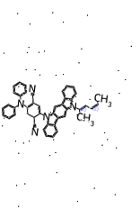 C/C=C\C=C(/C)n1c2ccccc2c2cc3c(cc21)c1ccccc1n3C1=CC(C#N)=C(N(c2ccccc2)c2ccccc2)CC1C#N